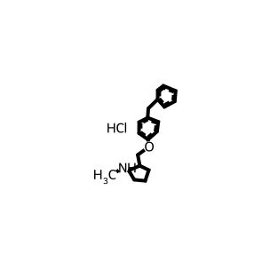 CNC1CCCC1COc1ccc(Cc2ccccc2)cc1.Cl